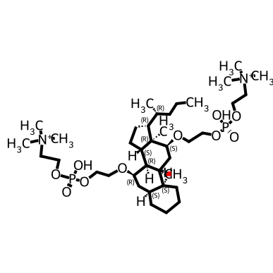 CCC[C@@H](C)[C@H]1CC[C@H]2[C@@H]3[C@H](OCCOP(=O)(O)OCC[N+](C)(C)C)C[C@@H]4CCCC[C@]4(C)[C@H]3C[C@H](OCCOP(=O)(O)OCC[N+](C)(C)C)[C@]12C